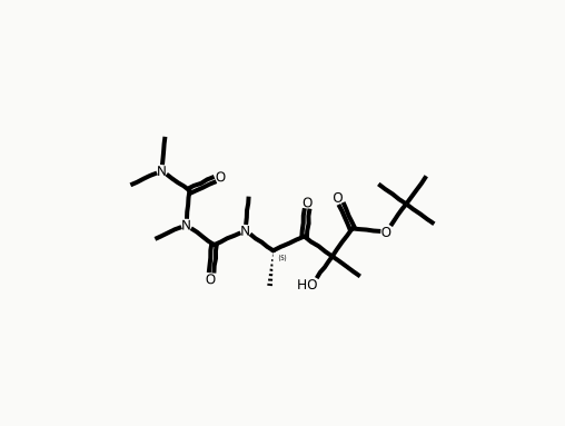 C[C@@H](C(=O)C(C)(O)C(=O)OC(C)(C)C)N(C)C(=O)N(C)C(=O)N(C)C